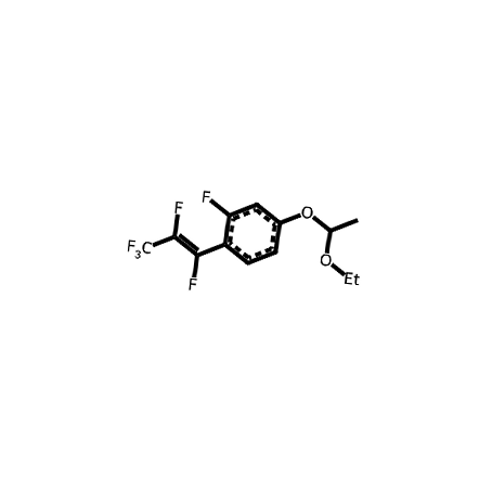 CCOC(C)Oc1ccc(C(F)=C(F)C(F)(F)F)c(F)c1